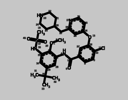 COc1c(NC(=O)c2ccc(Cl)c(Oc3ccnc(CC4CCNCC4)c3)c2)cc(C(C)(C)C)cc1NS(C)(=O)=O